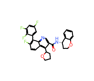 O=C(N[C@H]1CCOc2ccccc21)c1cnc2c(-c3cc(F)cc(F)c3F)c(F)ccc2c1C1CCCO1